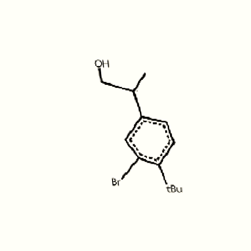 C[C](CO)c1ccc(C(C)(C)C)c(Br)c1